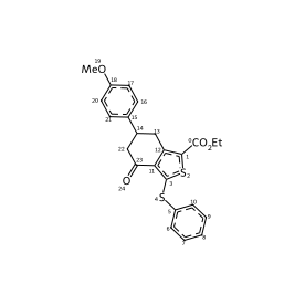 CCOC(=O)c1sc(Sc2ccccc2)c2c1CC(c1ccc(OC)cc1)CC2=O